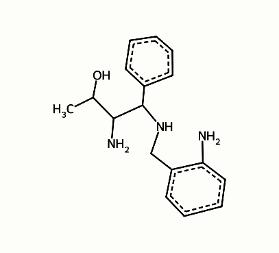 CC(O)C(N)C(NCc1ccccc1N)c1ccccc1